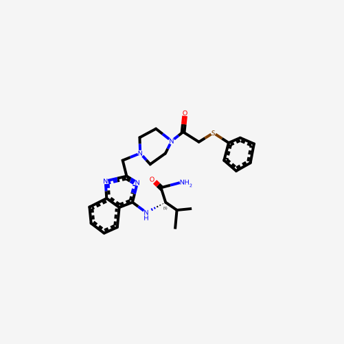 CC(C)[C@H](Nc1nc(CN2CCN(C(=O)CSc3ccccc3)CC2)nc2ccccc12)C(N)=O